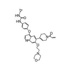 C=CC(=O)N1CC=C(c2cc3c(Oc4ccc(NC(=O)NC5CC5)cc4)ccnc3cc2OCCN2CCOCC2)CC1